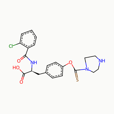 O=C(N[C@@H](Cc1ccc(OC(=S)N2CCNCC2)cc1)C(=O)O)c1ccccc1Cl